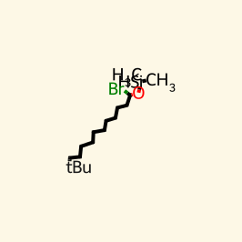 C[SiH](C)OC(Br)CCCCCCCCCCC(C)(C)C